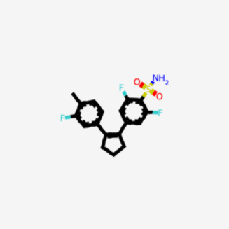 Cc1ccc(C2=C(c3cc(F)c(S(N)(=O)=O)c(F)c3)CCC2)cc1F